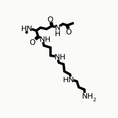 CNC(CCC(=O)NCC(C)=O)C(=O)NCCCNCCCCNCCCN